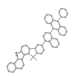 CC1(C)c2ccc(-c3ccc(-c4c5ccccc5c(-c5ccccc5)c5ccccc45)c4ccccc34)cc2-c2ccc3sc4c5ccccc5ccc4c3c21